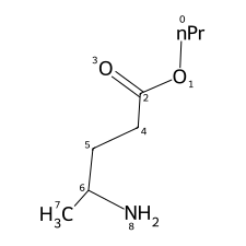 [CH2]CCOC(=O)CCC(C)N